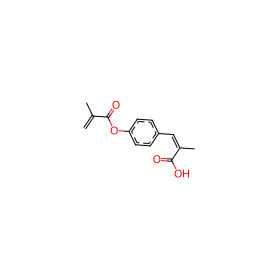 C=C(C)C(=O)Oc1ccc(C=C(C)C(=O)O)cc1